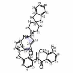 CN1C2=CC=C(Sc3cccc(NC(=O)c4cccc(F)c4Cl)c3Cl)/C1=N/C=C/C(N1CCC3(CC1)Cc1ccccc1C3)=N\2